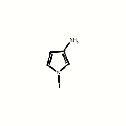 Nc1ccn(I)c1